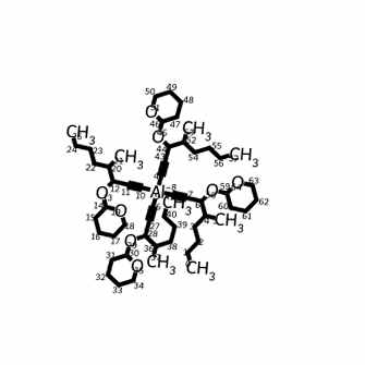 CCCCC(C)C(C#[C][Al-]([C]#CC(OC1CCCCO1)C(C)CCCC)([C]#CC(OC1CCCCO1)C(C)CCCC)[C]#CC(OC1CCCCO1)C(C)CCCC)OC1CCCCO1